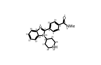 CNC(=O)c1ccc(-c2nc3ccccc3n2C2CCNCC2)cc1